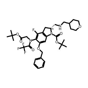 CC(C)(C)OC(=O)CN(C(=O)C(F)(F)F)c1c(OCc2ccccc2)cc2c(c1F)C[C@H](CNCC1CCOCC1)N2C(=O)OC(C)(C)C